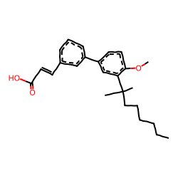 CCCCCCC(C)(C)c1cc(-c2cccc(/C=C/C(=O)O)c2)ccc1OC